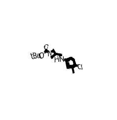 Cc1cc(NCC2CN(C(=O)OC(C)(C)C)C2)ccc1Cl